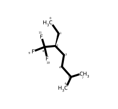 CC[C@@H](CCC(C)C)C(F)(F)F